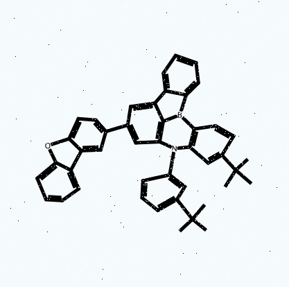 CC(C)(C)c1cccc(N2c3cc(C(C)(C)C)ccc3B3c4ccccc4-c4cc(-c5ccc6oc7ccccc7c6c5)cc2c43)c1